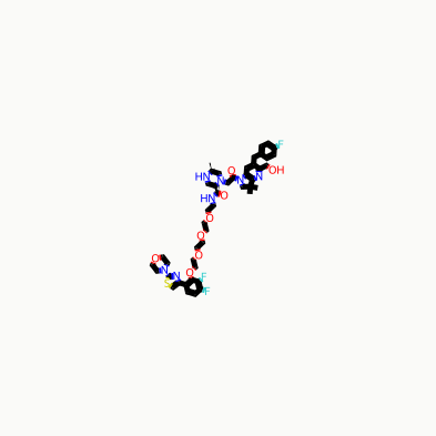 C[C@@H]1CN(CC(=O)N2CC(C)(C)c3nc(CO)c(Cc4ccc(F)cc4)cc32)[C@@H](C(=O)NCCOCCOCCOCCOc2c(-c3csc(N4CCOCC4)n3)ccc(F)c2F)CN1